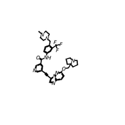 CN1CCN(Cc2ccc(NC(=O)c3cncc(C#Cc4cnc5ccc(OCC67CCCN6CCC7)nn45)c3)cc2C(F)(F)F)CC1